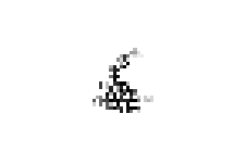 CC(C)(C)N1CCC(n2cc([C@@H](Nc3cc(Cl)c4ncc(C#N)c(Nc5ccc(F)c(C#N)c5F)c4c3)c3ccccc3)nn2)CC1